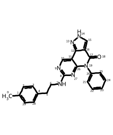 Cc1ccc(CCNc2ncc3c4n[nH]cc4c(=O)n(-c4ccccc4)c3n2)cc1